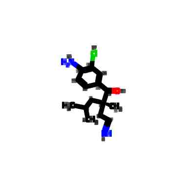 CC(C)C[C@](C)(CC=N)C(=O)c1ccc(N)c(Cl)c1